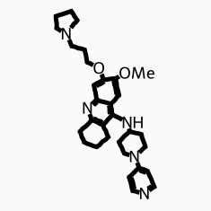 COc1cc2c(NC3CCN(c4ccncc4)CC3)c3c(nc2cc1OCCCN1CCCC1)CCCC3